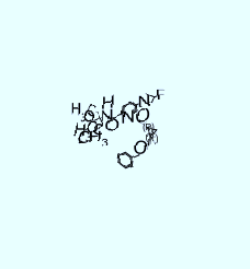 CCOC(=O)C(CC)(CC)NC(=O)c1ccc(N2CC(F)C2)c(OC[C@@H]2C[C@H]2COCc2ccccc2)n1